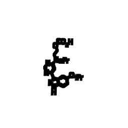 CCCN(CCOC(=O)O)c1cc(-c2n[nH]c3ccc(OC(C)C)cc23)ncn1